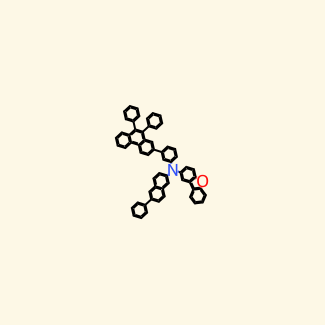 c1ccc(-c2ccc3cc(N(c4cccc(-c5ccc6c(c5)c(-c5ccccc5)c(-c5ccccc5)c5ccccc56)c4)c4ccc5oc6ccccc6c5c4)ccc3c2)cc1